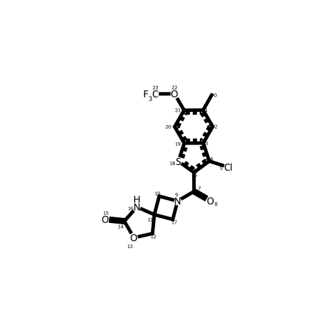 Cc1cc2c(Cl)c(C(=O)N3CC4(COC(=O)N4)C3)sc2cc1OC(F)(F)F